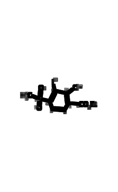 CCOC(=O)c1ccc(S(C)(=O)=O)c(I)c1Cl